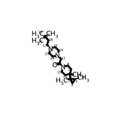 C[C@H]1CC1(C)C1(C)CCN(C(=O)CN2CCN(CCC(C)(C)C)CC2)CC1